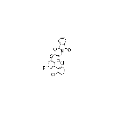 O=C1c2ccccc2C(=O)N1C[C@H]1COc2cc(F)cc(-c3c(Cl)cccc3Cl)c2O1